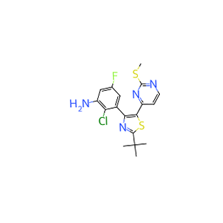 CSc1nccc(-c2sc(C(C)(C)C)nc2-c2cc(F)cc(N)c2Cl)n1